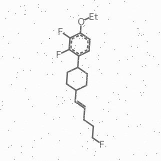 CCOc1ccc(C2CCC(/C=C/CCCF)CC2)c(F)c1F